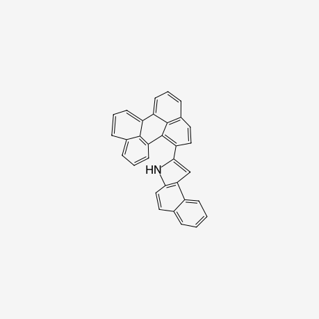 c1ccc2c(c1)ccc1[nH]c(-c3ccc4cccc5c6cccc7cccc(c3c45)c76)cc12